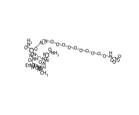 CCn1nc(C)cc1C(=O)Nc1nc2cc(C(N)=O)cnc2n1CCCCn1c(NC(=O)c2cc(C)nn2CC)nc2cc(C(N)=O)cc(OCCCN3CCN(CCOCCOCCOCCOCCOCCOCCOCCOCCOCCOCCNC(=O)CN4C(=O)C=CC4=O)CC3)c21